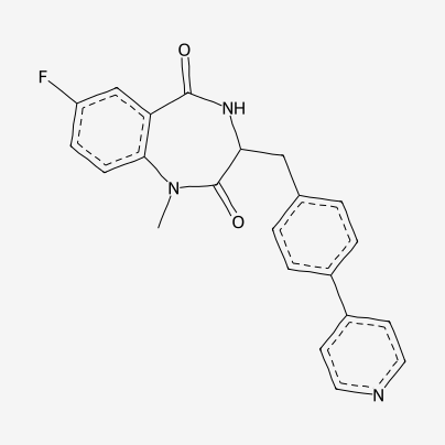 CN1C(=O)C(Cc2ccc(-c3ccncc3)cc2)NC(=O)c2cc(F)ccc21